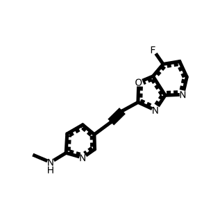 CNc1ccc(C#Cc2nc3nccc(F)c3o2)cn1